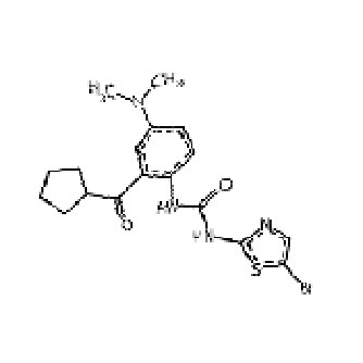 CN(C)c1ccc(NC(=O)Nc2ncc(Br)s2)c(C(=O)C2CCCC2)c1